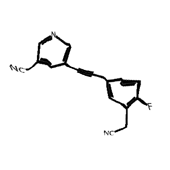 N#CCc1cc(C#Cc2cncc(C#N)c2)ccc1F